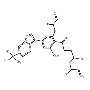 C=CC(CC)CC(C)CCC(=O)c1c(OC)cc(-c2cnc3cc(C(C)(C)C#N)ccn23)cc1OC(F)C=C